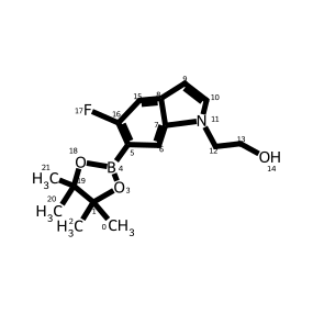 CC1(C)OB(c2cc3c(ccn3CCO)cc2F)OC1(C)C